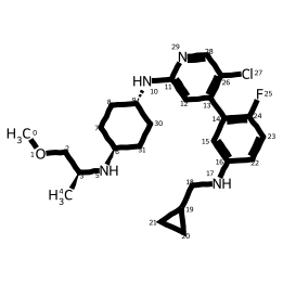 COC[C@H](C)N[C@H]1CC[C@H](Nc2cc(-c3cc(NCC4CC4)ccc3F)c(Cl)cn2)CC1